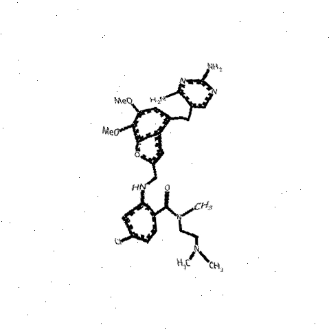 COc1cc(Cc2cnc(N)nc2N)c2cc(CNc3cc(Cl)ccc3C(=O)N(C)CCN(C)C)oc2c1OC